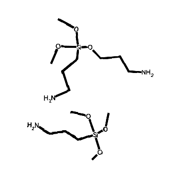 CO[Si](CCCN)(OC)OC.CO[Si](CCCN)(OC)OCCCN